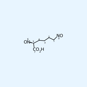 O=NCCCC[C@H](N=O)C(=O)O